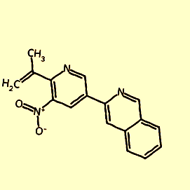 C=C(C)c1ncc(-c2cc3ccccc3cn2)cc1[N+](=O)[O-]